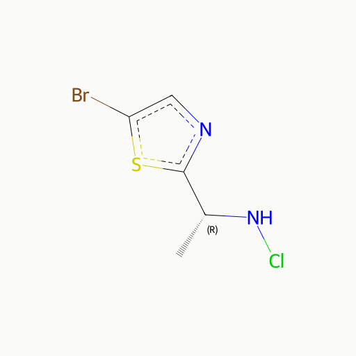 C[C@@H](NCl)c1ncc(Br)s1